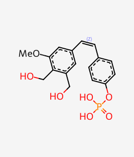 COc1cc(/C=C\c2ccc(OP(=O)(O)O)cc2)cc(CO)c1CO